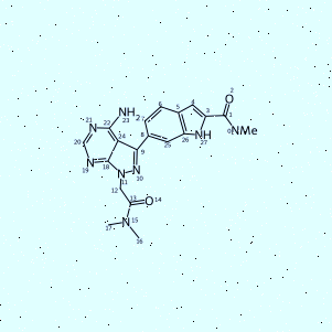 CNC(=O)c1cc2ccc(-c3nn(CC(=O)N(C)C)c4ncnc(N)c34)cc2[nH]1